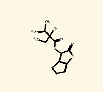 CCC(C)(C(=O)OC1C(=O)OC2CCCC21)C(C)C